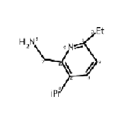 CCc1ccc(C(C)C)c(CN)n1